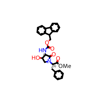 COC(=O)[C@H](Cc1ccccc1)N1CC(O)[C@H](NC(=O)OCC2c3ccccc3-c3ccccc32)C1=O